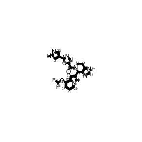 Cn1cc(-c2nnc(C(=O)N3CCc4[nH]cnc4C3c3cc4c(OC(F)F)cccn4n3)o2)cn1